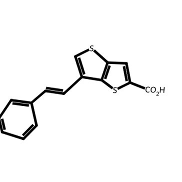 O=C(O)c1cc2scc(C=Cc3ccccc3)c2s1